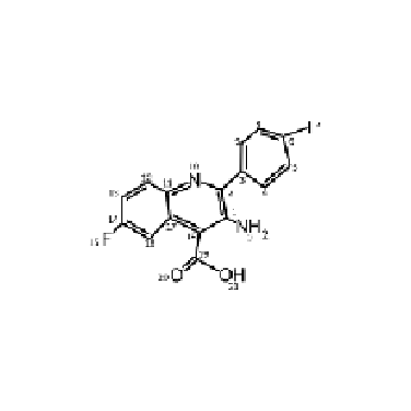 Nc1c(-c2ccc(I)cc2)nc2ccc(F)cc2c1C(=O)O